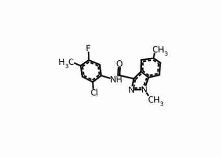 Cc1ccc2c(c1)c(C(=O)Nc1cc(F)c(C)cc1Cl)nn2C